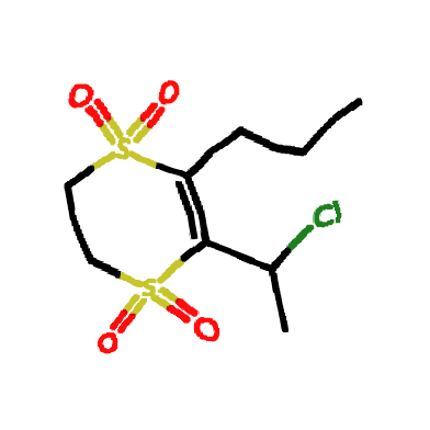 CCCC1=C(C(C)Cl)S(=O)(=O)CCS1(=O)=O